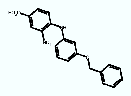 O=C(O)c1ccc(Nc2cccc(OCc3ccccc3)c2)c([N+](=O)[O-])c1